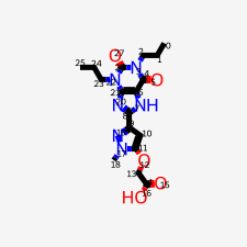 CCCn1c(=O)c2[nH]c(-c3cc(OCC(=O)O)n(C)n3)nc2n(CCC)c1=O